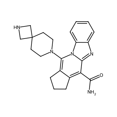 NC(=O)c1c2c(c(N3CCC4(CC3)CNC4)n3c1nc1ccccc13)CCC2